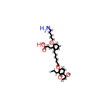 CCCc1c(OCCCCCCc2cccc(OCCCCCN)c2CCC(=O)O)ccc2c1OCCC2=O